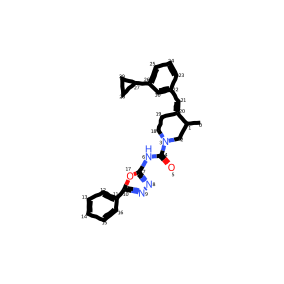 CC1CN(C(=O)Nc2nnc(-c3ccccc3)o2)CCC1=Cc1cccc(C2CC2)c1